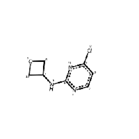 Clc1ccnc(NC2COC2)n1